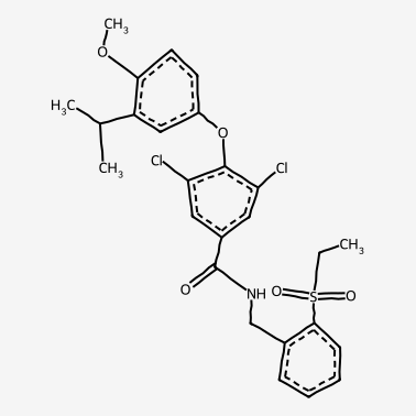 CCS(=O)(=O)c1ccccc1CNC(=O)c1cc(Cl)c(Oc2ccc(OC)c(C(C)C)c2)c(Cl)c1